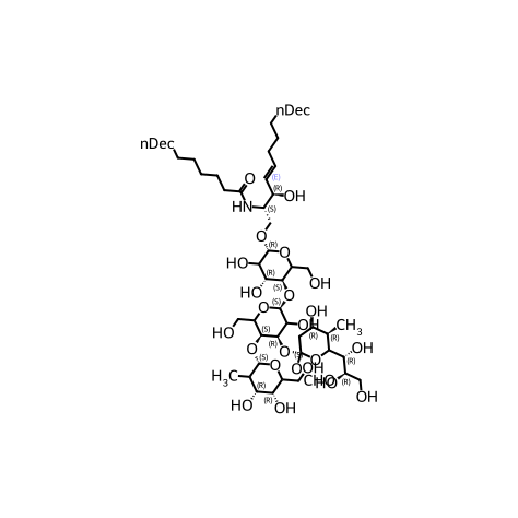 CCCCCCCCCCCCC/C=C/[C@@H](O)[C@H](CO[C@@H]1OC(CO)[C@@H](O[C@@H]2OC(CO)[C@H](O[C@@H]3OC(CO)[C@H](O)[C@H](O)C3C)[C@H](O[C@]3(OC=O)C[C@@H](O)[C@@H](C)C([C@H](O)[C@H](O)CO)O3)C2O)[C@H](O)C1O)NC(=O)CCCCCCCCCCCCCCC